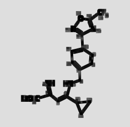 CCOC(=O)C(=N)/C=C(\NCc1ccc(-c2noc(C(F)(F)F)n2)cc1)C1CC1